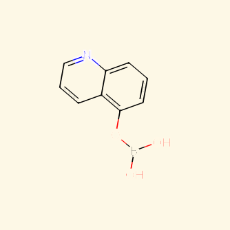 OB(O)Oc1cccc2ncccc12